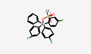 O=S(=O)(O[As](c1ccccc1)(c1ccc(F)cc1)(c1ccc(F)cc1)c1ccc(F)cc1)C(F)(F)F